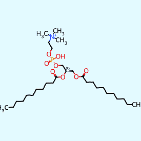 CCCCCCCCCCC(=O)OC[C@H](COP(=O)(O)OCC[N+](C)(C)C)OC(=O)CCCCCCCCCC